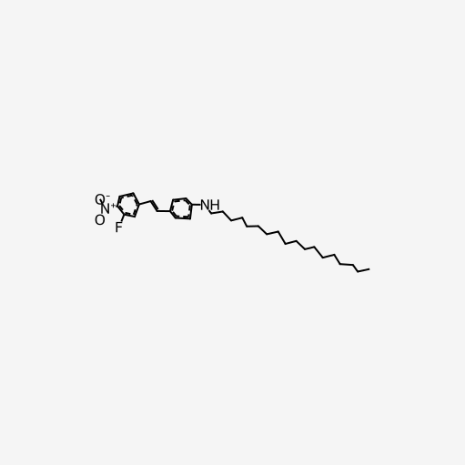 CCCCCCCCCCCCCCCCCCNc1ccc(C=Cc2ccc([N+](=O)[O-])c(F)c2)cc1